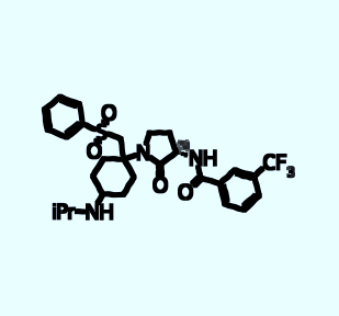 CC(C)NC1CCC(CS(=O)(=O)c2ccccc2)(N2CC[C@H](NC(=O)c3cccc(C(F)(F)F)c3)C2=O)CC1